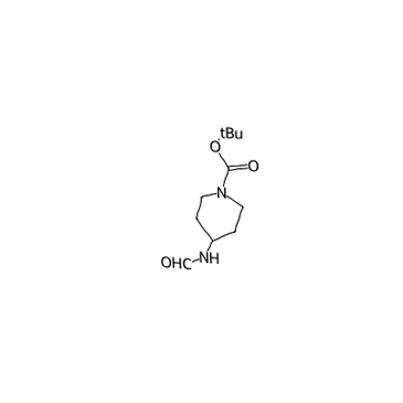 CC(C)(C)OC(=O)N1CCC(NC=O)CC1